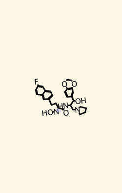 O=C(NC(CN1CCCC1)C(O)c1ccc2c(c1)OCCO2)/C(CCc1ccc2cc(F)ccc2c1)=N/O